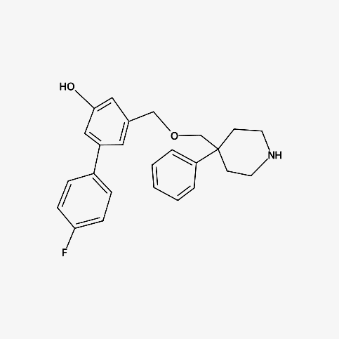 Oc1cc(COCC2(c3ccccc3)CCNCC2)cc(-c2ccc(F)cc2)c1